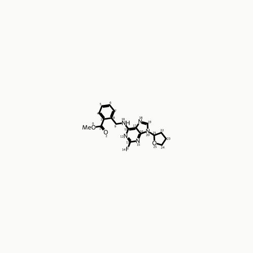 COC(=O)c1ccccc1CNc1nc(F)nc2c1ncn2C1CCCO1